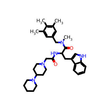 Cc1cc(CN(C)C(=O)C(Cc2c[nH]c3ccccc23)NC(=O)CN2CCC(N3CCCCC3)CC2)cc(C)c1C